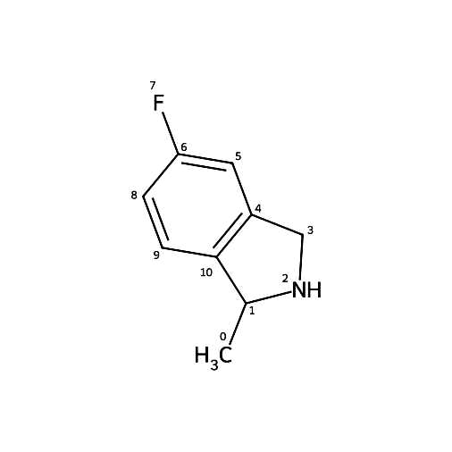 CC1NCc2cc(F)ccc21